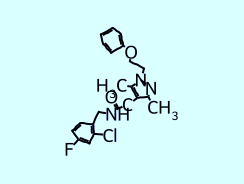 Cc1nn(CCOc2ccccc2)c(C)c1CC(=O)NCc1ccc(F)cc1Cl